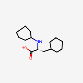 O=C(O)[C@@H](CC1CCCCC1)NC1CCCCC1